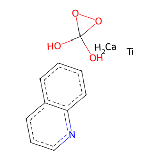 OC1(O)OO1.[CaH2].[Ti].c1ccc2ncccc2c1